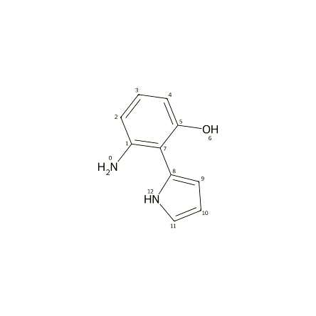 Nc1cccc(O)c1-c1ccc[nH]1